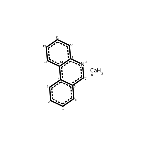 [CaH2].c1ccc2c(c1)cnc1ccccc12